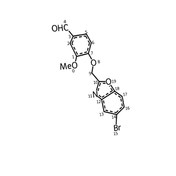 COc1cc(C=O)ccc1OCc1nc2cc(Br)ccc2o1